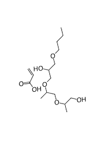 C=CC(=O)O.CCCCOCC(O)COC(C)COC(C)CO